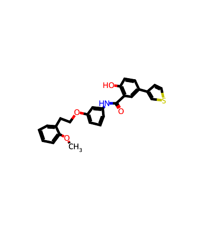 COc1ccccc1CCOc1cccc(NC(=O)c2cc(-c3ccsc3)ccc2O)c1